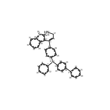 C1=C(c2ccc(N(c3ccccc3)c3ccc(-c4ccccc4)cc3)cc2)c2c(sc3ccccc23)NC1